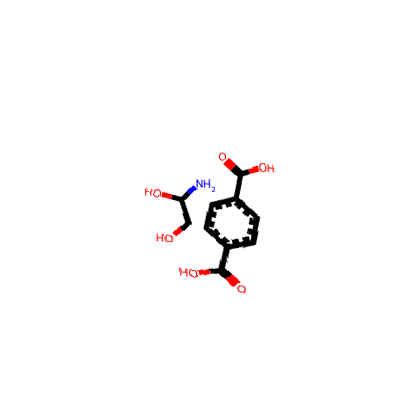 NC(O)CO.O=C(O)c1ccc(C(=O)O)cc1